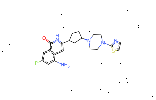 Nc1cc(F)cc2c(=O)[nH]c(C3CC[C@@H](N4CCN(c5nccs5)CC4)C3)cc12